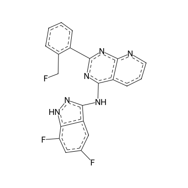 FCc1ccccc1-c1nc(Nc2n[nH]c3c(F)cc(F)cc23)c2cccnc2n1